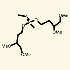 CN=P(C)(OCCC(COC)OC)OCCC(COC)OC